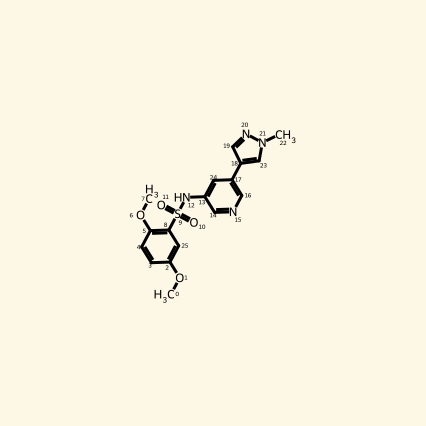 COc1ccc(OC)c(S(=O)(=O)Nc2cncc(-c3cnn(C)c3)c2)c1